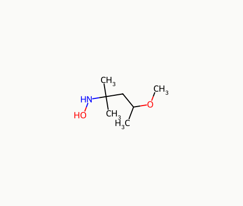 COC(C)CC(C)(C)NO